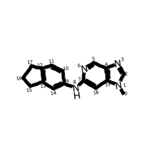 Cn1cnc2cnc(Nc3ccc4c(c3)CCC4)cc21